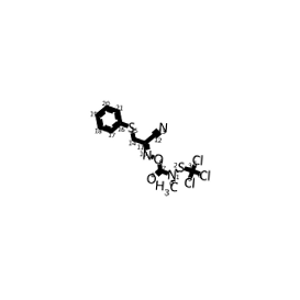 CN(SC(Cl)(Cl)Cl)C(=O)O/N=C(\C#N)CSc1ccccc1